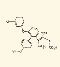 O=C(O)Cc1[nH]c2ccc(Oc3cccc(Cl)c3)c(-c3ccc(OC(F)(F)F)cc3)c2c1C(=O)O